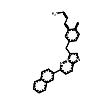 C=c1ccc(Cc2cnc3ccc(-c4ccc5ccccc5c4)nn23)c/c1=C/C=C\N